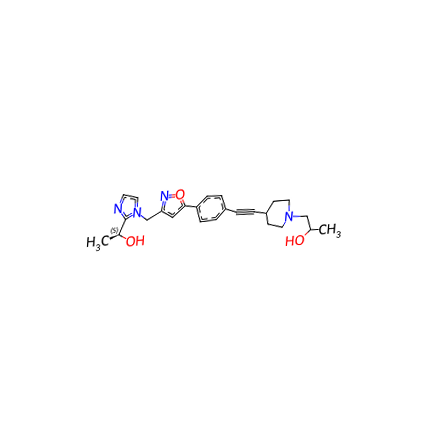 CC(O)CN1CCC(C#Cc2ccc(-c3cc(Cn4ccnc4[C@H](C)O)no3)cc2)CC1